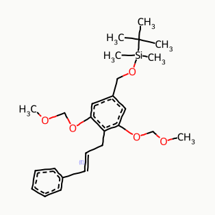 COCOc1cc(CO[Si](C)(C)C(C)(C)C)cc(OCOC)c1C/C=C/c1ccccc1